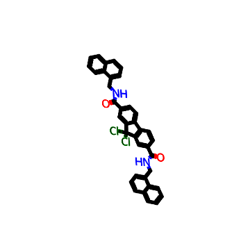 O=C(NCc1cccc2ccccc12)c1ccc2c(c1)C(Cl)(Cl)c1cc(C(=O)NCc3cccc4ccccc34)ccc1-2